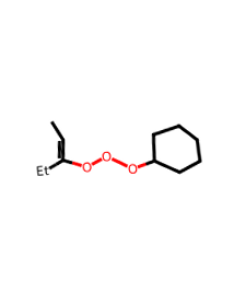 CC=C(CC)OOOC1CCCCC1